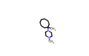 CN1CCN(C2(C)CCCCCCC2)CC1